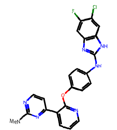 CNc1nccc(-c2cccnc2Oc2ccc(Nc3nc4cc(F)c(Cl)cc4[nH]3)cc2)n1